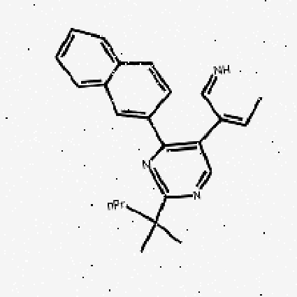 C/C=C(\C=N)c1cnc(C(C)(C)CCC)nc1-c1ccc2ccccc2c1